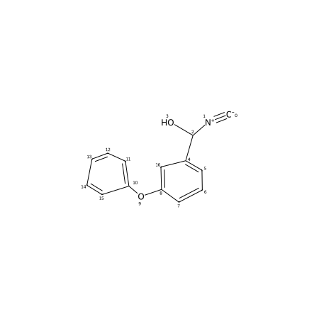 [C-]#[N+]C(O)c1cccc(Oc2ccccc2)c1